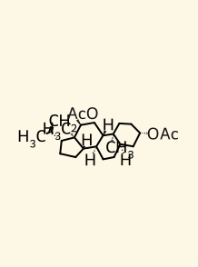 C=C(C)[C@H]1CC[C@H]2[C@@H]3CC[C@@H]4C[C@@H](OC(C)=O)CC[C@]4(C)[C@H]3C[C@H](OC(C)=O)[C@]12C